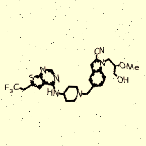 CO[C@@H](CO)Cn1c(C#N)cc2cc(CN3CCC(Nc4ncnc5sc(CC(F)(F)F)cc45)CC3)ccc21